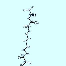 CC(C)NCC(=O)NCCCCCCCC(=O)C(C)C